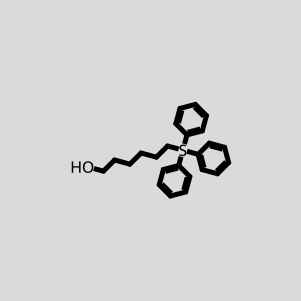 OCCCCCCS(c1ccccc1)(c1ccccc1)c1ccccc1